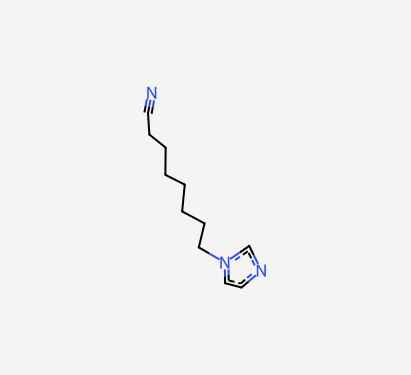 N#CCCCCCCCn1ccnc1